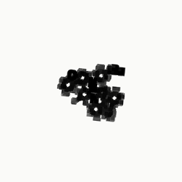 Cc1cc2c3c(c1)N1c4ccccc4C4(c5ccccc5-c5ccccc54)c4cccc(c41)B3N(c1ccc(C(C)(C)C)cc1)c1ccc3oc4ccccc4c3c1-2